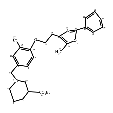 CCOC(=O)C1CCCN(Cc2ccc(OCCc3nc(-c4ccccc4)oc3C)c(CC)c2)C1